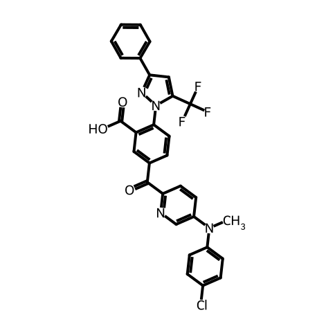 CN(c1ccc(Cl)cc1)c1ccc(C(=O)c2ccc(-n3nc(-c4ccccc4)cc3C(F)(F)F)c(C(=O)O)c2)nc1